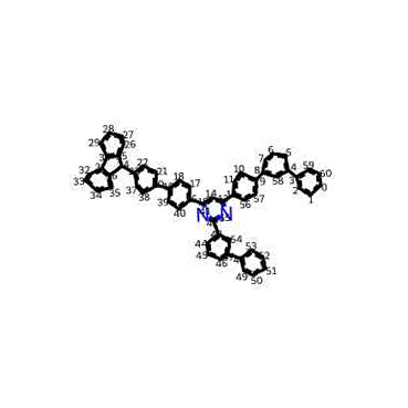 c1ccc(-c2cccc(-c3ccc(-c4cc(-c5ccc(-c6ccc(C7c8ccccc8-c8ccccc87)cc6)cc5)nc(-c5cccc(-c6ccccc6)c5)n4)cc3)c2)cc1